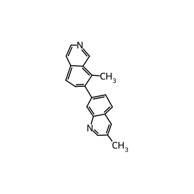 Cc1cnc2cc(-c3ccc4ccncc4c3C)ccc2c1